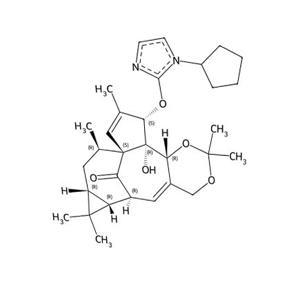 CC1=C[C@]23C(=O)[C@@H](C=C4COC(C)(C)O[C@H]4[C@]2(O)[C@H]1Oc1nccn1C1CCCC1)[C@H]1[C@@H](C[C@H]3C)C1(C)C